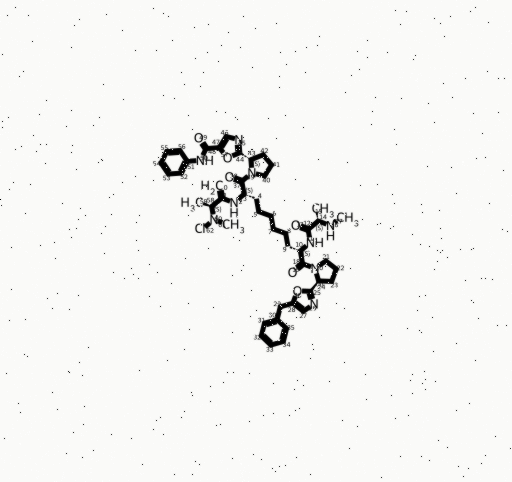 C=C(N[C@@H](CCCCCC[C@H](NC(=O)[C@H](C)NC)C(=O)N1CCC[C@H]1c1ncc(Cc2ccccc2)o1)C(=O)N1CCC[C@H]1c1ncc(C(=O)Nc2ccccc2)o1)[C@H](C)N(C)Cl